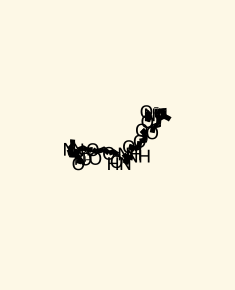 CC1=CC=C([N+](=O)[O-])C1CCOC(=O)COCC(=O)NC(=N)NC(=O)COCC(=O)OCCn1c([N+](=O)[O-])cnc1C